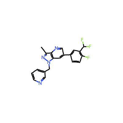 Cc1nn(Cc2cccnc2)c2cc(-c3ccc(F)c(C(F)F)c3)cnc12